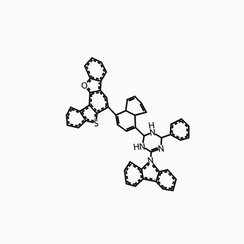 C1=CC2C(c3cc4c5ccccc5oc4c4c3sc3ccccc34)=CC=C(C3NC(n4c5ccccc5c5ccccc54)=NC(c4ccccc4)N3)C2C=C1